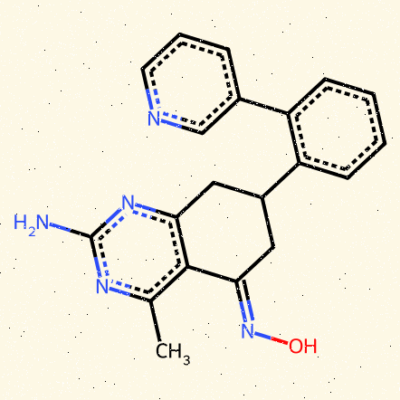 Cc1nc(N)nc2c1/C(=N/O)CC(c1ccccc1-c1cccnc1)C2